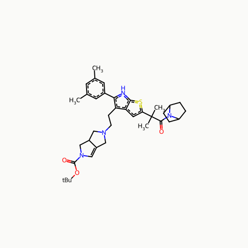 Cc1cc(C)cc(-c2[nH]c3sc(C(C)(C)C(=O)N4C5CCC4CC5)cc3c2CCN2CC3=CN(C(=O)OC(C)(C)C)CC3C2)c1